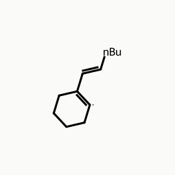 CCCCC=CC1=[C]CCCC1